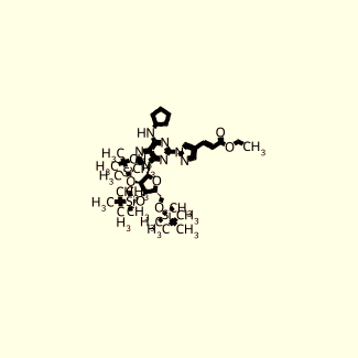 CCOC(=O)/C=C/c1cnn(-c2nc(NC3CCCC3)c3ncn([C@@H]4O[C@H](CO[Si](C)(C)C(C)(C)C)[C@@H](O[Si](C)(C)C(C)(C)C)[C@H]4O[Si](C)(C)C(C)(C)C)c3n2)c1